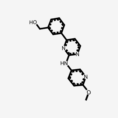 COc1ccc(Nc2nccc(-c3cccc(CO)c3)n2)cn1